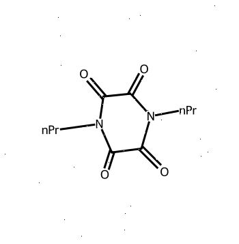 CCCN1C(=O)C(=O)N(CCC)C(=O)C1=O